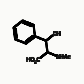 CC(=O)NC(C(=O)O)C(O)c1ccccc1